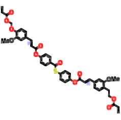 C=CC(=O)OCCc1ccc(/C=C/C(=O)Oc2ccc(SC(=O)c3ccc(OC(=O)/C=C/c4ccc(OCOC(=O)C=C)c(OC)c4)cc3)cc2)cc1OC